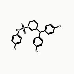 Cc1ccc(C(c2ccc(C(F)(F)F)cc2)C2CCCN(S(=O)(=O)Nc3ccc(Cl)cc3)C2)cc1